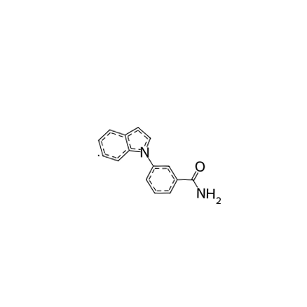 NC(=O)c1cccc(-n2ccc3cc[c]cc32)c1